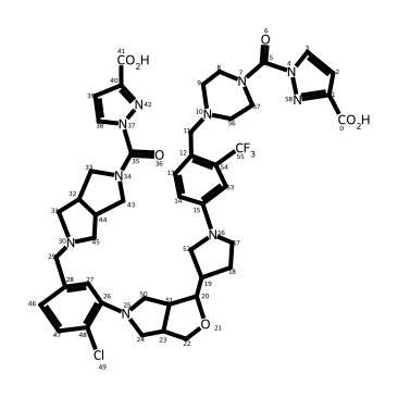 O=C(O)c1ccn(C(=O)N2CCN(Cc3ccc(N4CCC(C5OCC6CN(c7cc(CN8CC9CN(C(=O)n%10ccc(C(=O)O)n%10)CC9C8)ccc7Cl)CC65)C4)cc3C(F)(F)F)CC2)n1